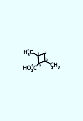 CC1CC(C)C1C(=O)O